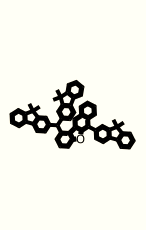 CC1(C)c2ccccc2-c2ccc(-c3c4ccccc4cc4c3oc3cccc(C(c5ccc6c(c5)C(C)(C)c5ccccc5-6)c5ccc6c(c5)C(C)(C)c5ccccc5-6)c34)cc21